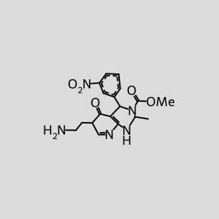 COC(=O)N1C(C)NC2=C(C(=O)C(CCN)C=N2)C1c1cccc([N+](=O)[O-])c1